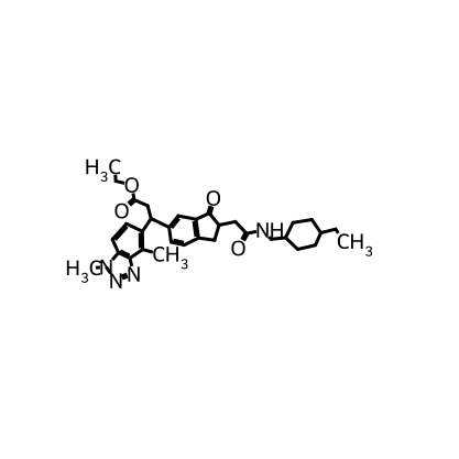 CCOC(=O)CC(c1ccc2c(c1)C(=O)C(CC(=O)NCC1CCC(CC)CC1)C2)c1ccc2c(nnn2C)c1C